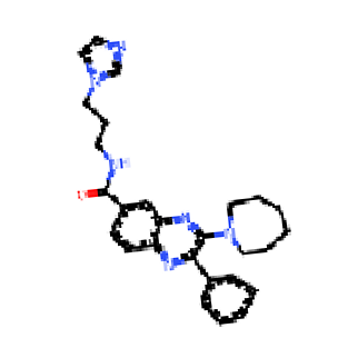 O=C(NCCCn1ccnc1)c1ccc2nc(-c3ccccc3)c(N3CCCCCC3)nc2c1